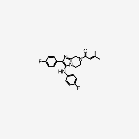 CC(C)=CC(=O)N1CCn2c(nc(-c3ccc(F)cc3)c2Nc2ccc(F)cc2)C1